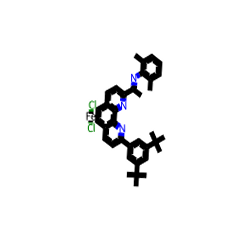 CC(=Nc1c(C)cccc1C)c1ccc2ccc3ccc(-c4cc(C(C)(C)C)cc(C(C)(C)C)c4)nc3c2n1.[Cl][Fe][Cl]